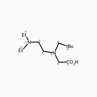 CCN(CC)CCN(CC(=O)O)CC(C)(C)C